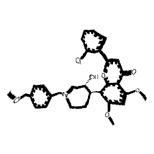 COc1ccc(N2CC[C@H](c3c(OC)cc(OC)c4c(=O)cc(-c5ccccc5Cl)oc34)[C@@H](O)C2)cc1